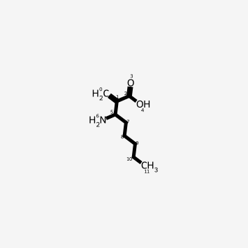 C=C(C(=O)O)C(N)CCCCC